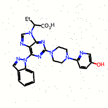 CCC(C(=O)O)n1cnc2c(-n3ncc4ccccc43)nc(N3CCN(c4ccc(O)cn4)CC3)nc21